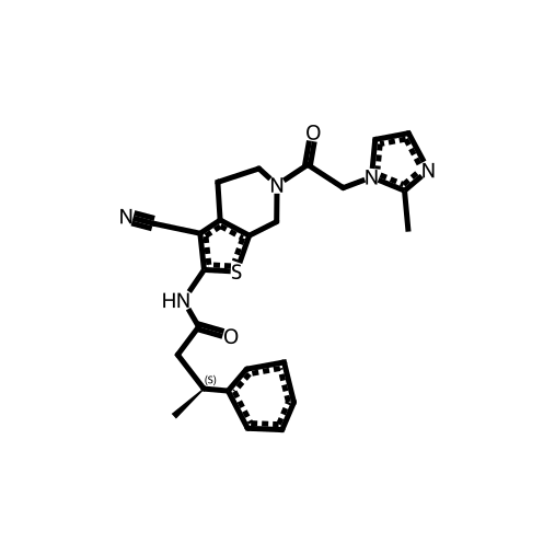 Cc1nccn1CC(=O)N1CCc2c(sc(NC(=O)C[C@H](C)c3ccccc3)c2C#N)C1